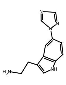 NCCc1c[nH]c2ccc(-n3cncn3)cc12